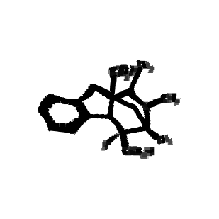 CC1N(C)[C@@]2(C)CC3c4ccccc4C([C@@H]2C(=O)O)C31C(=O)O